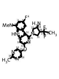 CNc1cc(F)cc2c1[nH]c1cc(Oc3cnc(C)nc3)nc(N3CC(N)C(C(C)(F)F)C3)c12